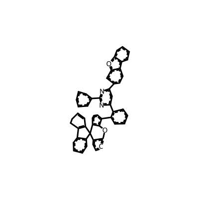 C1=CC2=C(CC1)c1ccccc1C21c2ccccc2Oc2c(-c3ccccc3-c3cc(-c4ccc5c(c4)oc4ccccc45)nc(-c4ccccc4)n3)cccc21